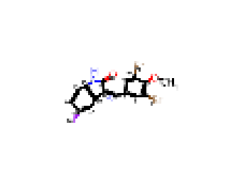 COc1c(Br)cc(/C=C2\C(=O)Nc3ccc(I)cc32)cc1Br